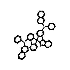 c1ccc(N(c2ccc3c(c2)-c2c(sc4ccccc24)C32c3ccccc3-c3c(N(c4ccccc4)c4ccc5ccccc5c4)cccc32)c2ccc3ccccc3c2)cc1